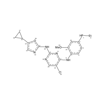 CCPc1ccc(Nc2nc(Nc3ncc(C4CC4)o3)ncc2Cl)c(OC)c1